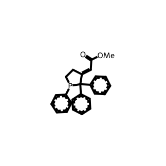 COC(=O)C=C1CCP(c2ccccc2)C1(c1ccccc1)c1ccccc1